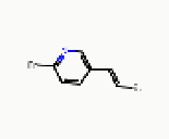 CC/C=C/c1ccc(C(C)C)nc1